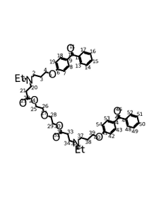 CCN(CCCOc1ccc(C(=O)c2ccccc2)cc1)CCC(=O)OCCOCCOC(=O)CCN(CC)CCCOc1ccc(C(=O)c2ccccc2)cc1